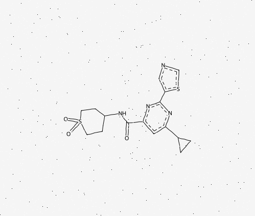 O=C(NC1CCS(=O)(=O)CC1)c1cc(C2CC2)nc(-c2cncs2)n1